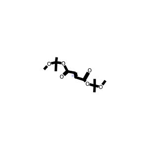 COC(C)(C)OC(=O)/C=C/C(=O)OC(C)(C)OC